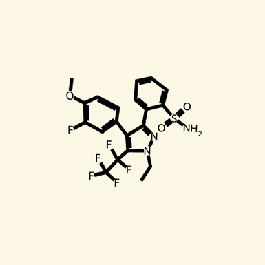 CCn1nc(-c2ccccc2S(N)(=O)=O)c(-c2ccc(OC)c(F)c2)c1C(F)(F)C(F)(F)F